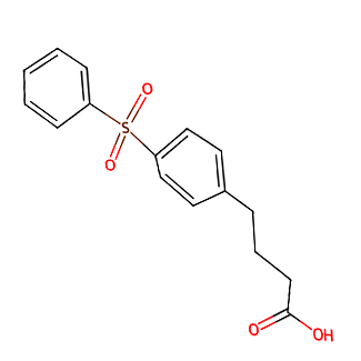 O=C(O)CCCc1ccc(S(=O)(=O)c2ccccc2)cc1